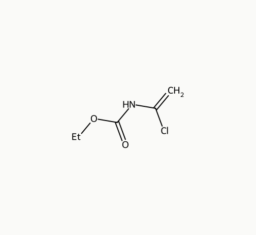 C=C(Cl)NC(=O)OCC